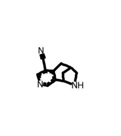 N#Cc1cncc2c1CC1CNC2C1